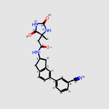 CC1(CC(=O)NC2Cc3ccc(-c4cccc(C#N)c4)cc3C2)NC(=O)NC1=O